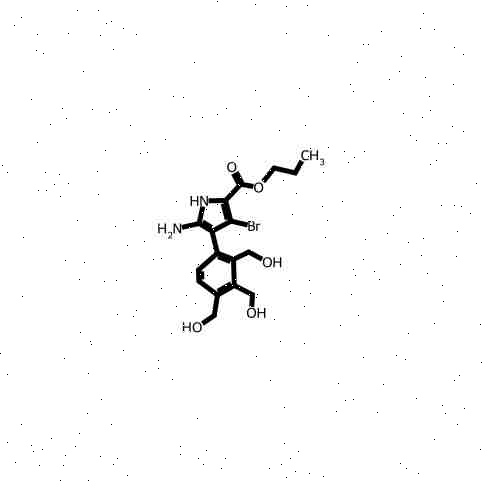 CCCOC(=O)c1[nH]c(N)c(-c2ccc(CO)c(CO)c2CO)c1Br